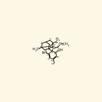 COCOC1(C23CC4CC(C)(CC(C)(C4)C2)C3)C(Br)=CC(F)=CC1O